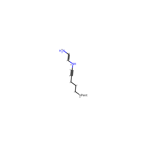 CCCCCCCCC#CN/C=C/N